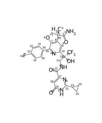 C[C@]1(C(N)=O)COc2c1cc([C@@](O)(CNC(=O)c1cc(=O)[nH]c(C3CC3)n1)C(F)(F)F)nc2-c1ccc(F)cc1